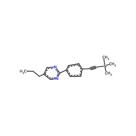 CCCc1cnc(-c2ccc(C#C[Si](C)(C)C)cc2)nc1